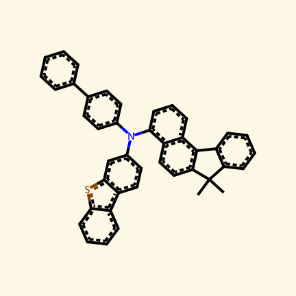 CC1(C)c2ccccc2-c2c1ccc1c(N(c3ccc(-c4ccccc4)cc3)c3ccc4c(c3)sc3ccccc34)cccc21